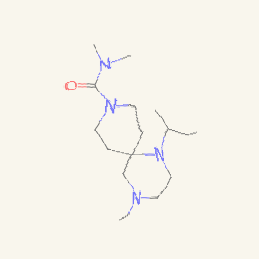 CC(C)N1CCN(C)CC12CCN(C(=O)N(C)C)CC2